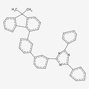 CC1(C)c2ccccc2-c2c(-c3cccc(-c4cccc(-c5nc(-c6ccccc6)nc(-c6ccccc6)n5)c4)c3)cccc21